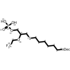 CCCCCCCCCCCCCCCCSCC(COP(=O)(O)O)OCC(F)(F)F